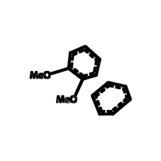 COc1ccccc1OC.c1ccccc1